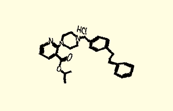 CC(C)OC(=O)c1cccnc1N1CCN(Cc2ccc(CCc3ccccc3)cc2)CC1.Cl